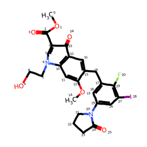 COC(=O)c1cn(CCO)c2cc(OC)c(Cc3cc(N4CCCC4=O)cc(I)c3F)cc2c1=O